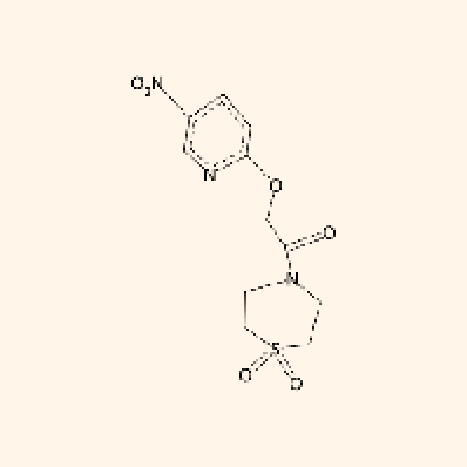 O=C(COc1ccc([N+](=O)[O-])cn1)N1CCS(=O)(=O)CC1